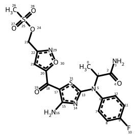 CC(C(N)=O)N(c1ccc(F)cc1)c1nc(N)c(C(=O)c2cc(COS(C)(=O)=O)no2)s1